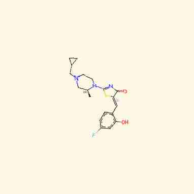 C[C@H]1CN(CC2CC2)CCN1C1=NC(=O)/C(=C/c2ccc(F)cc2O)S1